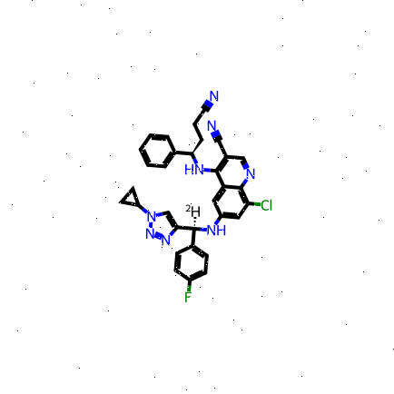 [2H][C@](Nc1cc(Cl)c2ncc(C#N)c(N[C@H](CCC#N)c3ccccc3)c2c1)(c1ccc(F)cc1)c1cn(C2CC2)nn1